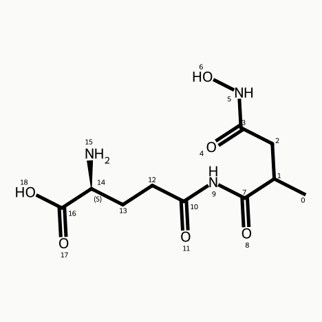 CC(CC(=O)NO)C(=O)NC(=O)CC[C@H](N)C(=O)O